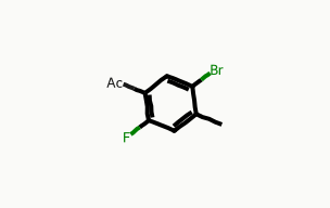 CC(=O)c1cc(Br)c(C)cc1F